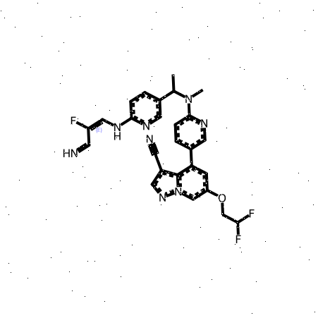 CC(c1ccc(N/C=C(/F)C=N)nc1)N(C)c1ccc(-c2cc(OCC(F)F)cn3ncc(C#N)c23)cn1